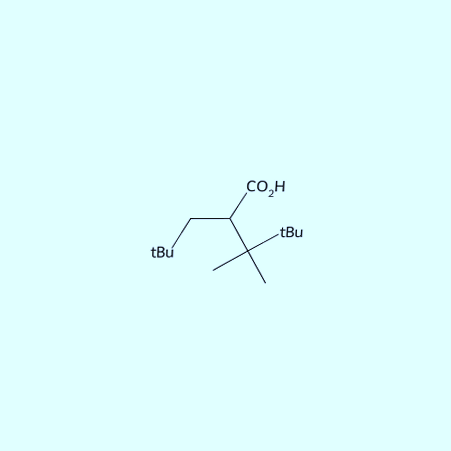 CC(C)(C)CC(C(=O)O)C(C)(C)C(C)(C)C